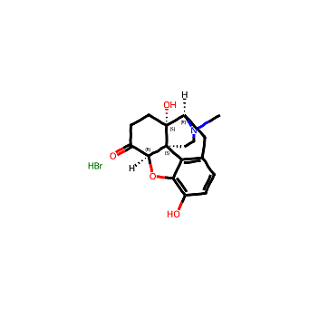 Br.CN1CC[C@]23c4c5ccc(O)c4O[C@H]2C(=O)CC[C@@]3(O)[C@H]1C5